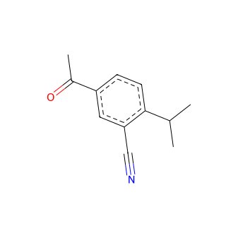 CC(=O)c1ccc(C(C)C)c(C#N)c1